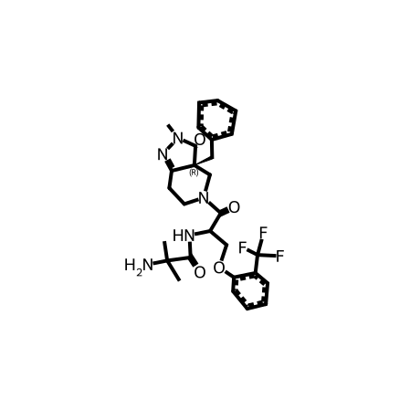 CN1N=C2CCN(C(=O)C(COc3ccccc3C(F)(F)F)NC(=O)C(C)(C)N)C[C@@]2(Cc2ccccc2)C1=O